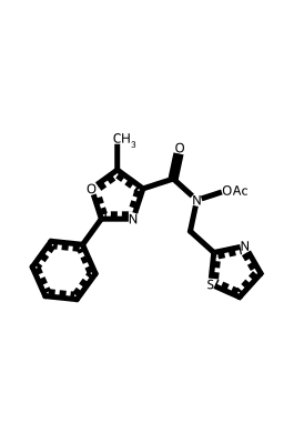 CC(=O)ON(Cc1nccs1)C(=O)c1nc(-c2ccccc2)oc1C